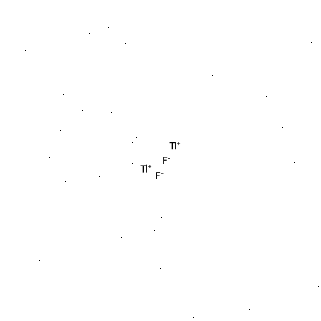 [F-].[F-].[Tl+].[Tl+]